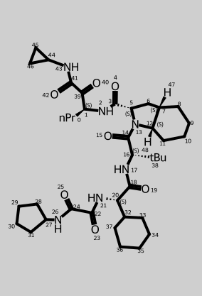 CCC[C@H](NC(=O)[C@@H]1C[C@@H]2CCCC[C@@H]2N1C(=O)[C@@H](NC(=O)[C@@H](NC(=O)C(=O)NC1CCCC1)C1CCCCC1)C(C)(C)C)C(=O)C(=O)NC1CC1